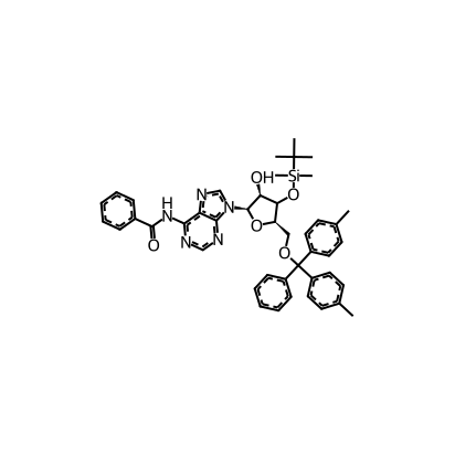 Cc1ccc(C(OC[C@H]2O[C@@H](n3cnc4c(NC(=O)c5ccccc5)ncnc43)[C@@H](O)C2O[Si](C)(C)C(C)(C)C)(c2ccccc2)c2ccc(C)cc2)cc1